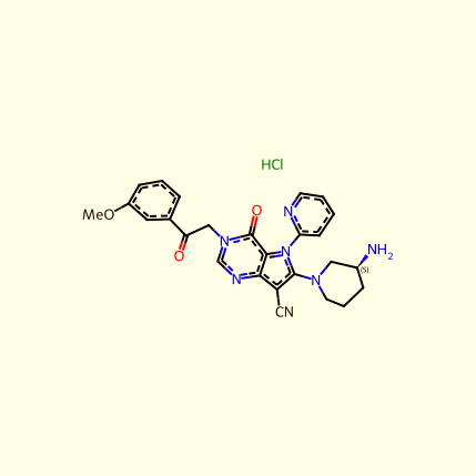 COc1cccc(C(=O)Cn2cnc3c(C#N)c(N4CCC[C@H](N)C4)n(-c4ccccn4)c3c2=O)c1.Cl